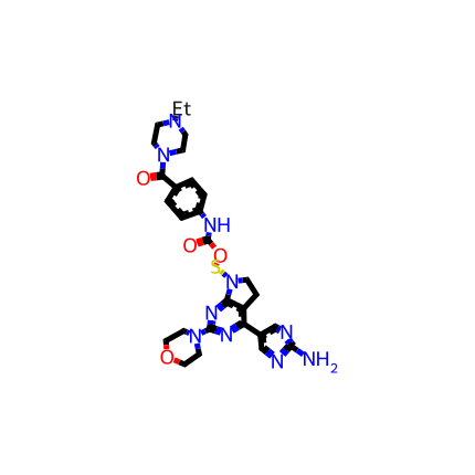 CCN1CCN(C(=O)c2ccc(NC(=O)OSN3CCc4c(-c5cnc(N)nc5)nc(N5CCOCC5)nc43)cc2)CC1